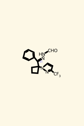 O=CN/N=C(\c1ccccc1)C1(n2ccc(C(F)(F)F)n2)CCC1